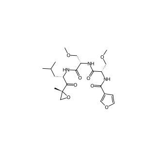 COC[C@H](NC(=O)c1ccoc1)C(=O)N[C@@H](COC)C(=O)N[C@@H](CC(C)C)C(=O)[C@@]1(C)CO1